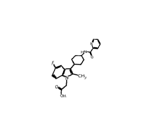 Cc1c(C2CCC(NC(=O)c3ccccn3)CC2)c2cc(F)ccc2n1CC(=O)O